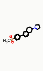 CS(=O)(=O)c1ccc(-c2ccc3c(c2)CC[C@@H](N2CCCC2)C3)cc1